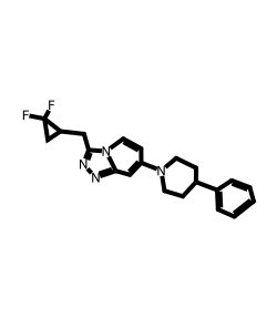 FC1(F)CC1Cc1nnc2cc(N3CCC(c4ccccc4)CC3)ccn12